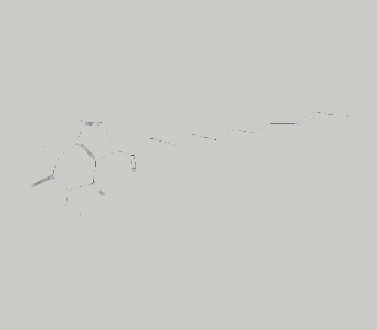 CCCCCCCCC=CCCCCCCCC(=O)n1cnc2c1c(=O)n(C)c(=O)n2C